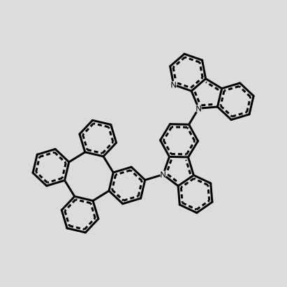 c1ccc2c(c1)-c1ccccc1-c1ccc(-n3c4ccccc4c4cc(-n5c6ccccc6c6cccnc65)ccc43)cc1-c1ccccc1-2